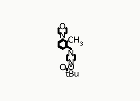 Cc1c(CN2CCN(OC(=O)C(C)(C)C)CC2)cccc1N1CCOCC1